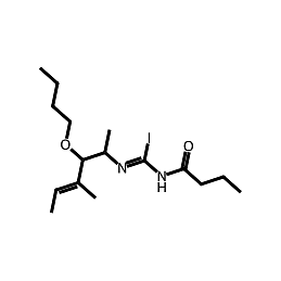 C/C=C(\C)C(OCCCC)C(C)/N=C(\I)NC(=O)CCC